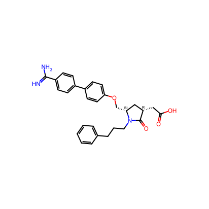 N=C(N)c1ccc(-c2ccc(OC[C@@H]3C[C@H](CC(=O)O)C(=O)N3CCCc3ccccc3)cc2)cc1